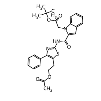 CC(=O)OCCc1sc(NC(=O)c2cc3ccccc3n2CC(=O)OC(C)(C)C)nc1-c1ccccc1